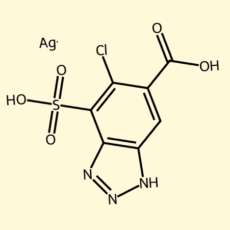 O=C(O)c1cc2[nH]nnc2c(S(=O)(=O)O)c1Cl.[Ag]